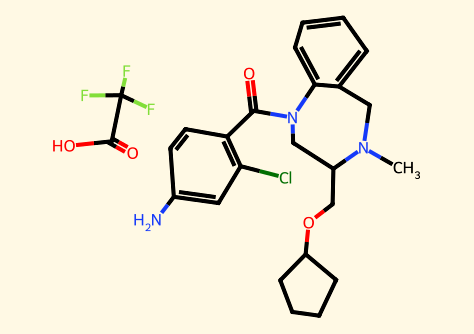 CN1Cc2ccccc2N(C(=O)c2ccc(N)cc2Cl)CC1COC1CCCC1.O=C(O)C(F)(F)F